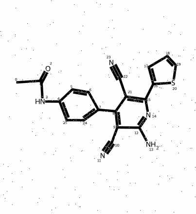 CC(=O)Nc1ccc(-c2c(C#N)c(N)nc(-c3cccs3)c2C#N)cc1